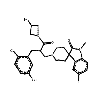 CN1C(=O)C2(CCN(CC(Cc3cc(O)ccc3Cl)C(=O)N3CC(O)C3)CC2)c2cc(F)ccc21